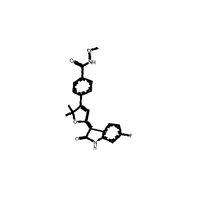 CONC(=O)c1ccc(C2=CC(=C3C(=O)Nc4cc(F)ccc43)OC2(C)C)cc1